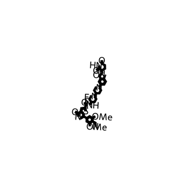 COc1cc(-c2cn(C)c(=O)c3cc(C(=O)NC4CCN(C5CCN(c6ccc7c(c6)C(=O)N(C6CCC(=O)NC6=O)C7)CC5)CC4(F)F)sc23)cc(OC)c1CN(C)C